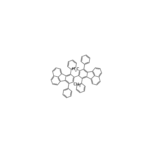 Cc1c(-c2ccccc2)c2c(c(-c3ccccc3)c1-c1c(C)c(-c3ccccc3)c3c(c1-c1ccccc1)-c1cccc4cccc-3c14)-c1cccc3cccc-2c13